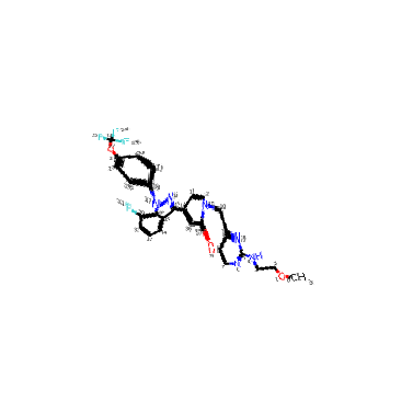 COCCNc1nccc(Cn2ccc(-c3nn(-c4ccc(OC(F)(F)F)cc4)c4c(F)cccc34)cc2=O)n1